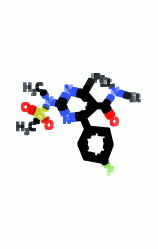 CCN(CC)C(=O)c1c(-c2ccc(F)cc2)nc(N(C)S(C)(=O)=O)nc1C(C)C